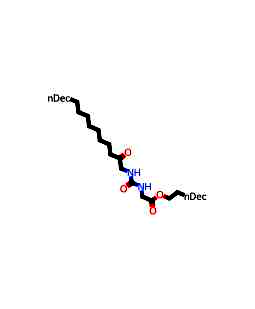 CCCCCCCCCCCCCCCCCCC(=O)CNC(=O)NCC(=O)OCCCCCCCCCCCC